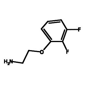 NCCOc1cccc(F)c1F